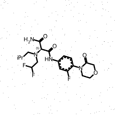 CC(C)CN(CC(F)F)[C@@H](C(N)=O)C(=O)Nc1ccc(N2CCOCC2=O)c(F)c1